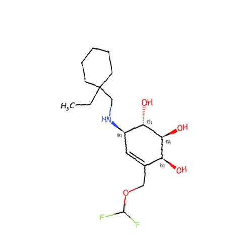 CCC1(CN[C@@H]2C=C(COC(F)F)[C@H](O)[C@H](O)[C@H]2O)CCCCC1